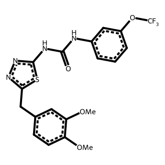 COc1ccc(Cc2nnc(NC(=O)Nc3cccc(OC(F)(F)F)c3)s2)cc1OC